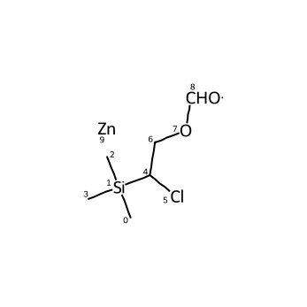 C[Si](C)(C)C(Cl)CO[C]=O.[Zn]